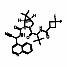 CC(C)(C)C(NC(=O)C1CC(F)(F)C1)C(=O)N1C[C@H]2[C@@H]([C@H]1C(=O)NC(C#N)c1cnnc3ccccc13)C2(C)C